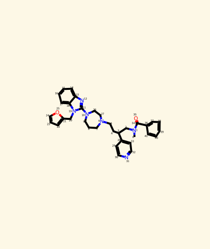 CN(CC(CCN1CCCN(c2nc3ccccc3n2Cc2ccco2)CC1)c1ccncc1)C(=O)c1ccccc1